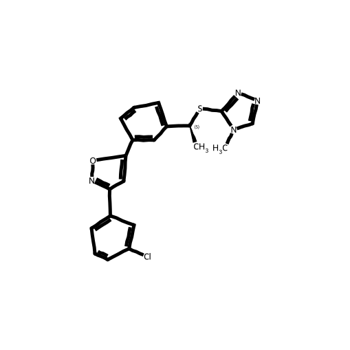 C[C@H](Sc1nncn1C)c1cccc(-c2cc(-c3cccc(Cl)c3)no2)c1